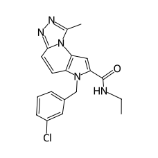 CCNC(=O)c1cc2c(ccc3nnc(C)n32)n1Cc1cccc(Cl)c1